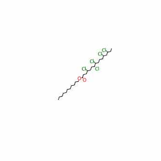 CCCCCCCCCCCOC(=O)CCC(Cl)CCC(Cl)C(Cl)CCCC(Cl)CC(Cl)CC